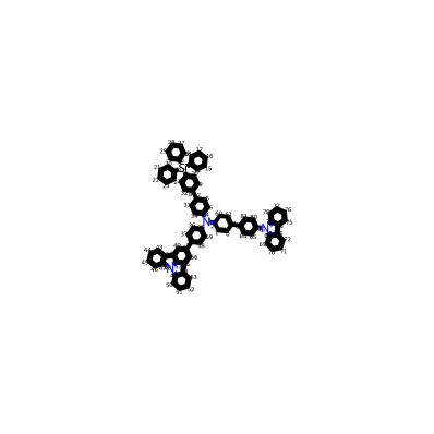 C1=CC(N(c2ccc(-c3ccc([Si](c4ccccc4)(c4ccccc4)c4ccccc4)cc3)cc2)c2ccc(-c3cc4c5ccccc5n5c6ccccc6c(c3)c45)cc2)CC=C1c1ccc(-n2c3ccccc3c3ccccc32)cc1